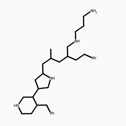 CC(C)CCC(CNCCCN)CC(C)CC1CC(C2CNCCC2CC(C)C)CN1